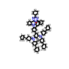 c1ccc(-c2ccc(N3c4ccc(-c5ccccc5)cc4B4c5cc(-c6ccccc6)ccc5N(c5ccc(-c6ccccc6)cc5)c5cc(-c6ccc7c(c6)c6ccccc6n7-c6ccccc6-c6nc(-c7ccccc7)nc(-c7ccccc7)n6)cc3c54)cc2)cc1